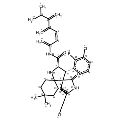 C=C(/C=C\C(=C)C(=C)C(C)C)NC(=O)[C@@H]1NC2(CCC(C)(C)CC2)[C@@]2(C(=O)Nc3cc(Cl)ccc32)[C@H]1c1cccc(Cl)c1F